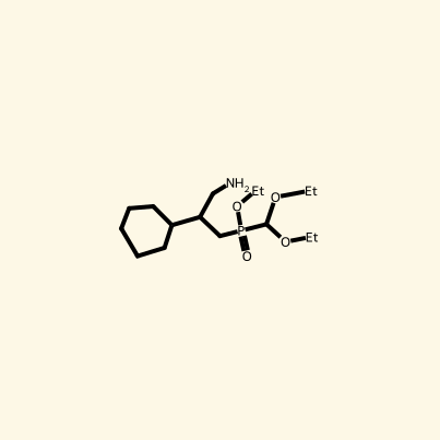 CCOC(OCC)P(=O)(CC(CN)C1CCCCC1)OCC